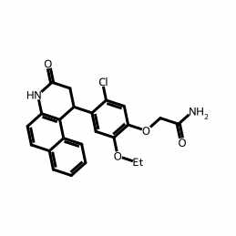 CCOc1cc(C2CC(=O)Nc3ccc4ccccc4c32)c(Cl)cc1OCC(N)=O